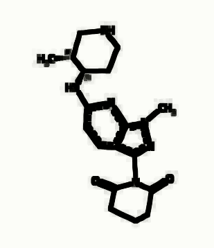 C[C@@H]1CNCC[C@H]1Nc1ccc2c(N3C(=O)CCCC3=O)nn(C)c2n1